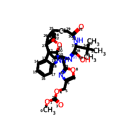 COC(=O)OCc1coc(C2=C\C34c5ccccc5NC3Oc3ccc(cc34)CCC(=O)NC(C(C)(C)C)\C(O)=N\2)n1